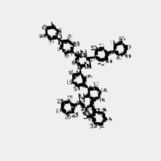 c1ccc(-c2ccc(-c3cc(-c4cccc(-c5cccc6c5nc(-c5ccccc5)c5sc7ccccc7c56)c4)nc(-c4ccc(-c5ccccc5)cc4)n3)cc2)cc1